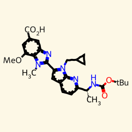 COc1cc(C(=O)O)cc2nc(-c3cc4ccc([C@@H](C)NC(=O)OC(C)(C)C)nc4n3CC3CC3)n(C)c12